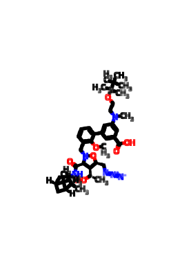 COc1c(CN2O[C@@H](CN=[N+]=[N-])[C@@H]([C@H](C)O)[C@H]2C(=O)N[C@H]2C[C@H]3C[C@@H]([C@@H]2C)C3(C)C)cccc1-c1cc(C(=O)O)cc(N(C)CCO[Si](C)(C)C(C)(C)C)c1